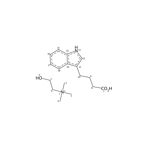 C[N+](C)(C)CCO.O=C(O)CCCc1c[nH]c2ccccc12